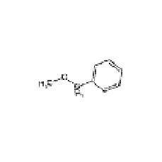 CO[SiH2]c1ccccc1